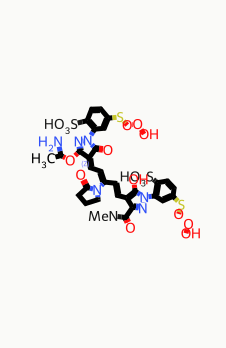 CNC(=O)c1nn(-c2cc(SOOO)ccc2S(=O)(=O)O)c(O)c1C=CC(=C/C=C1\C(=O)N(c2cc(SOOO)ccc2S(=O)(=O)O)N=C1OC(C)N)N1CCCC1=O